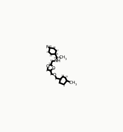 CC1CCC(COCC2COC(CN[C@@H](C)C3CCC(F)CC3)O2)CC1